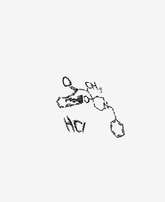 CC(C(=O)c1ccccc1)C1(O)CCN(Cc2ccccc2)CC1.Cl